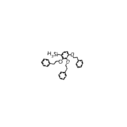 [SiH3]c1ccc(OCCc2ccccc2)c(OCCc2ccccc2)c1OCCc1ccccc1